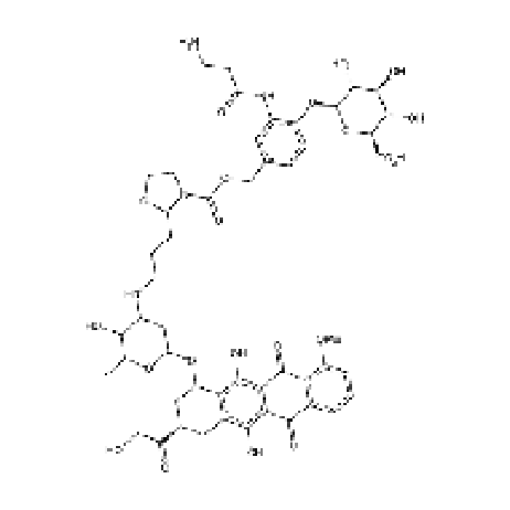 COc1cccc2c1C(=O)c1c(O)c3c(c(O)c1C2=O)C[C@@H](C(=O)CO)CC3OC1CC(NCCCC2OCCN2C(=O)OCc2ccc(O[C@@H]3O[C@H](C(=O)O)[C@@H](O)[C@H](O)[C@H]3O)c(NC(=O)CCN)c2)C(O)C(C)O1